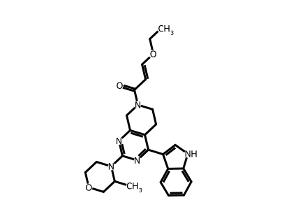 CCOC=CC(=O)N1CCc2c(nc(N3CCOCC3C)nc2-c2c[nH]c3ccccc23)C1